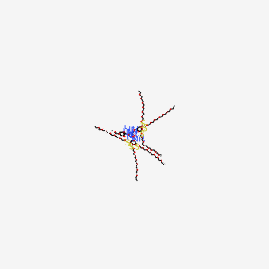 [CH2]Cc1ccc(-c2nc(Nc3cc(SCCCCCCCCCCCCCCC)c(SCCCCCCCCCCCCCCC)c(SCCCCCCCCCCCCCCC)c3)nc(Nc3cc(SCCCCCCCCCCCCCCC)c(SCCCCCCCCCCCCCCC)c(SCCCCCCCCCCCCCCC)c3)n2)cc1